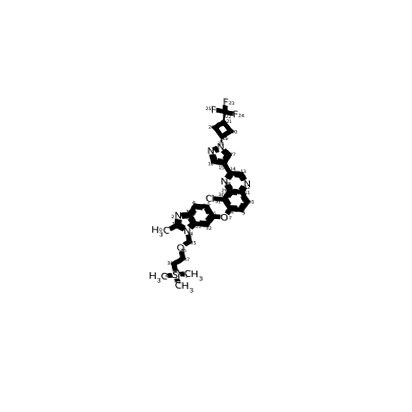 Cc1nc2ccc(Oc3ccc4ncc(-c5cnn([C@H]6C[C@H](C(F)(F)F)C6)c5)nc4c3Cl)cc2n1COCC[Si](C)(C)C